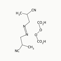 CC(C#N)CN=NCC(C)C#N.O=C(O)OOC(=O)O